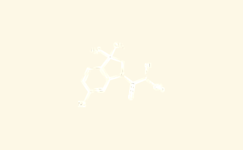 CC(Cl)C(=O)N1CC(C)(C)c2ccc(C#N)cc21